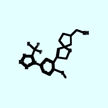 CSc1ccc(-n2nnnc2C(F)(F)F)cc1C1=CC2(CCC(CO)C2)OC1